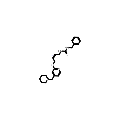 S=C(NC/C=C\COc1cc(CN2CCCCC2)ccn1)NCc1ccccc1